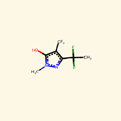 Cn1nc(C(C)(F)F)c(C(F)(F)F)c1O